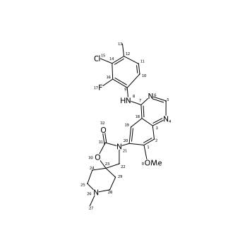 COc1cc2ncnc(Nc3ccc(C)c(Cl)c3F)c2cc1N1CC2(CCN(C)CC2)OC1=O